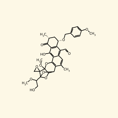 COc1ccc(CO[C@H]2C[C@@H](C)C(=O)c3c2c(C=O)c2cc(C)c4c(c2c3O)OC2(OC)C3OC(C(CO)OC)(OC43)C23CO3)cc1